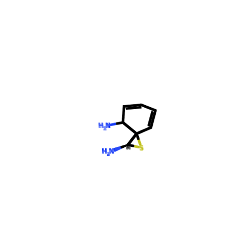 NC1C=CC=CC12S[C@H]2N